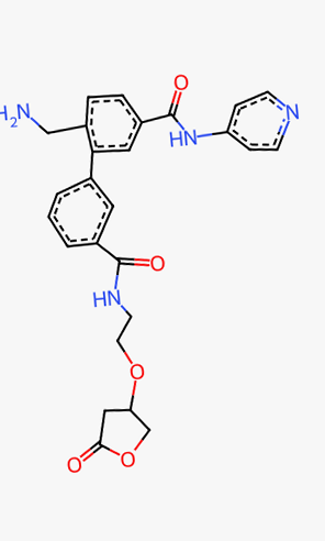 NCc1ccc(C(=O)Nc2ccncc2)cc1-c1cccc(C(=O)NCCOC2COC(=O)C2)c1